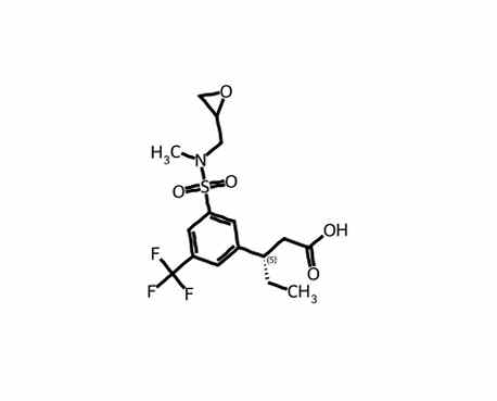 CC[C@@H](CC(=O)O)c1cc(C(F)(F)F)cc(S(=O)(=O)N(C)CC2CO2)c1